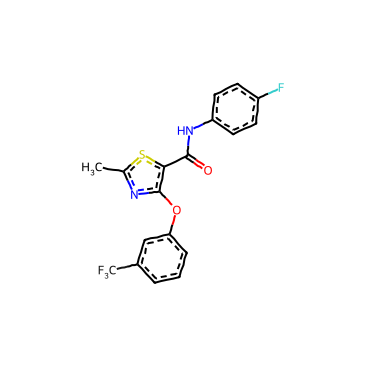 Cc1nc(Oc2cccc(C(F)(F)F)c2)c(C(=O)Nc2ccc(F)cc2)s1